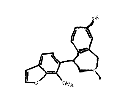 COc1c(C2CN(C)Cc3cc(O)ccc32)ccc2ccsc12